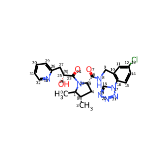 CC1[C@@H](C)C[C@@H](C(=O)NCc2cc(Cl)ccc2-n2cnnn2)N1C(=O)[C@H](O)Cc1ccccn1